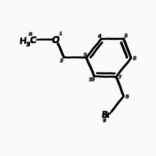 COCc1cccc(CBr)c1